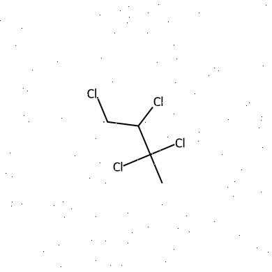 CC(Cl)(Cl)C(Cl)[CH]Cl